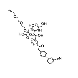 C#CCOCCOCCO[C@]1(C(=O)O)C[C@H](O)[C@@H](NC(=O)CO)[C@H]([C@H](O)[C@H](O)CNC(=O)Cc2ccc(-c3cccc(C#N)c3)cc2)O1